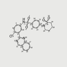 O=S(=O)(Nc1ccc(Cl)c(-c2ncc3ccccc3n2)c1)c1ccc(N2CCCCS2(=O)=O)cc1